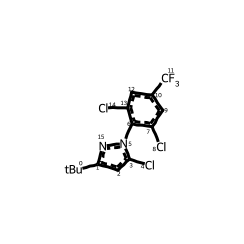 CC(C)(C)c1cc(Cl)n(-c2c(Cl)cc(C(F)(F)F)cc2Cl)n1